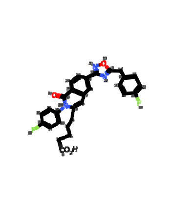 O=C(O)CCCCc1cc2cc(-c3noc(Cc4ccc(F)cc4)n3)ccc2c(=O)n1-c1ccc(F)cc1